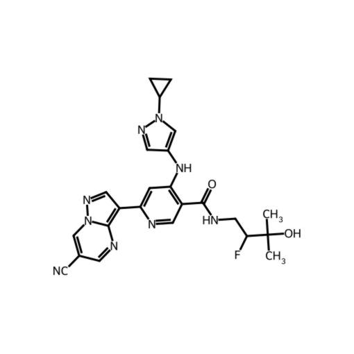 CC(C)(O)C(F)CNC(=O)c1cnc(-c2cnn3cc(C#N)cnc23)cc1Nc1cnn(C2CC2)c1